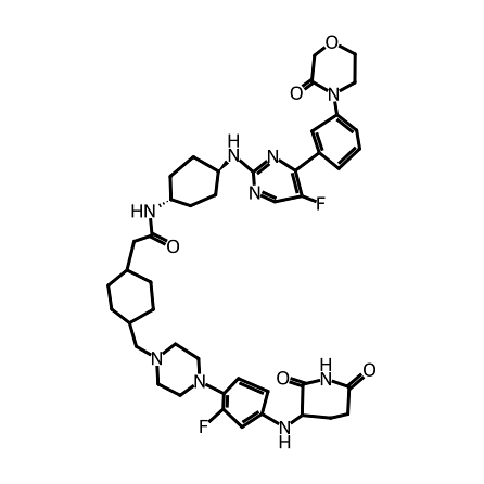 O=C1CCC(Nc2ccc(N3CCN(CC4CCC(CC(=O)N[C@H]5CC[C@H](Nc6ncc(F)c(-c7cccc(N8CCOCC8=O)c7)n6)CC5)CC4)CC3)c(F)c2)C(=O)N1